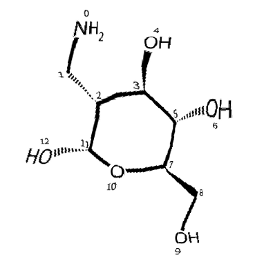 NC[C@@H]1[C@@H](O)[C@H](O)[C@@H](CO)O[C@@H]1O